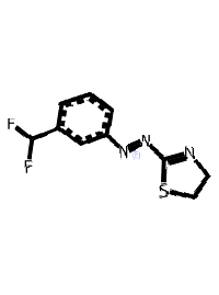 FC(F)c1cccc(/N=N/C2=NCCS2)c1